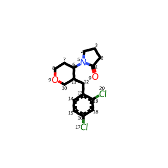 O=C1CCCN1C1CCOCC1Cc1ccc(Cl)cc1Cl